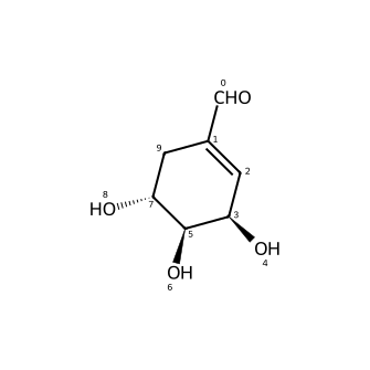 O=CC1=C[C@@H](O)[C@@H](O)[C@H](O)C1